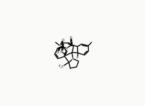 CC1=CC(C(=O)NS(C)(=O)=O)C(F)(C2(N3CCCC3(c3ccccc3)C(F)(F)F)C=CC=NC2)C=C1